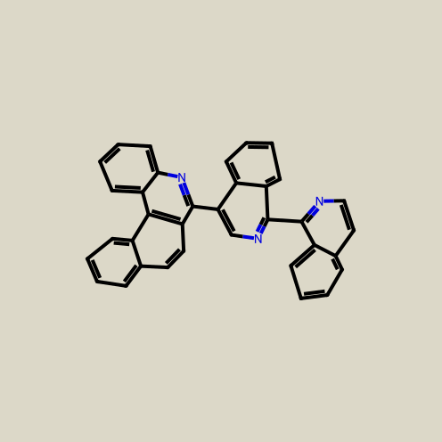 c1ccc2c(-c3ncc(-c4nc5ccccc5c5c4ccc4ccccc45)c4ccccc34)nccc2c1